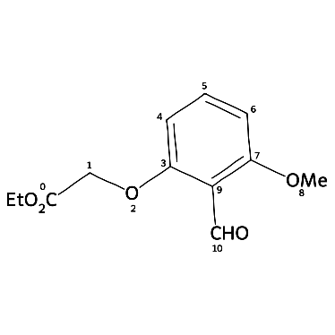 CCOC(=O)COc1cccc(OC)c1C=O